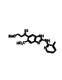 CCN(CCOC)c1cc2[nH]c(Nc3ncccc3C)nc2cc1C(=O)O